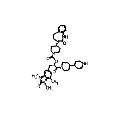 Cc1cc(C[C@@H](OC(=O)N2CCC(N3CCc4ccccc4NC3=O)CC2)C(=O)N2CCC(C3CCNCC3)CC2)cc2c1n(C)c(=O)n2C